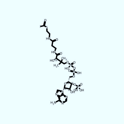 CC(C)(COP(=O)(O)OP(=O)(O)OC[C@H]1O[C@@H](n2cnc3c(N)ncnc32)[C@H](O)[C@@H]1OP(=O)(O)O)[C@@H](O)C(=O)NCCC(=O)NCCSC(=O)I